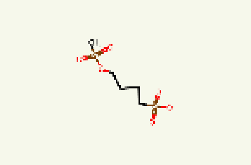 CS(=O)(=O)OCCCCS([O])(=O)=O